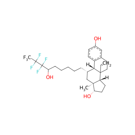 C=CC12CCc3cc(O)ccc3[C@H]1[C@@H](CCCCCC(O)C(F)(F)C(F)(F)C(F)(F)F)C[C@]1(C)[C@@H](O)CC[C@@H]21